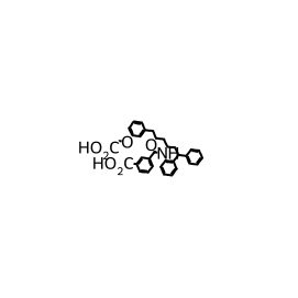 O=C(O)COc1cccc(CCCC(CC(c2ccccc2)c2ccccc2)NC(=O)c2cccc(C(=O)O)c2)c1